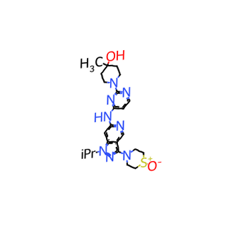 CC(C)n1nc(N2CC[S+]([O-])CC2)c2cnc(Nc3ccnc(N4CCC(C)(O)CC4)n3)cc21